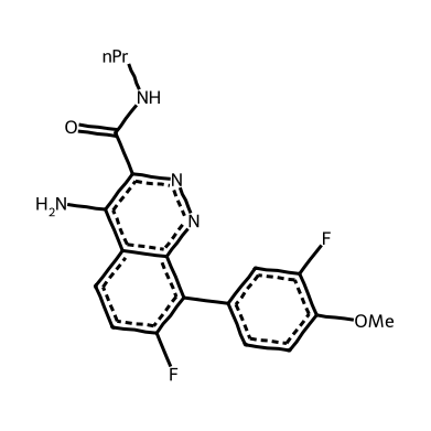 CCCNC(=O)c1nnc2c(-c3ccc(OC)c(F)c3)c(F)ccc2c1N